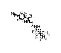 CC(C)(C)OC(=O)NCCNC(=O)c1ccc(C#N)nc1